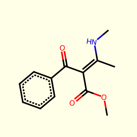 CN/C(C)=C(/C(=O)OC)C(=O)c1ccccc1